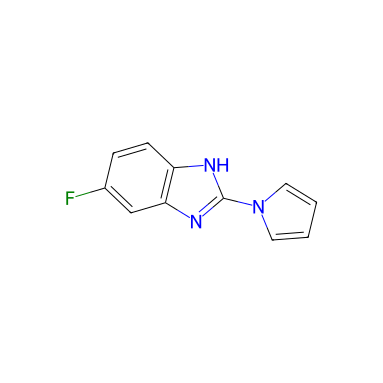 Fc1ccc2[nH]c(-n3cccc3)nc2c1